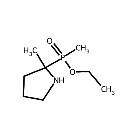 CCOP(C)(=O)C1(C)CCCN1